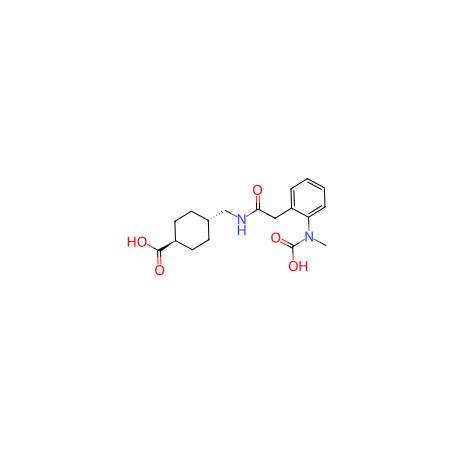 CN(C(=O)O)c1ccccc1CC(=O)NC[C@H]1CC[C@H](C(=O)O)CC1